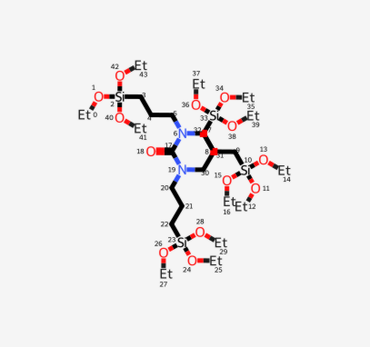 CCO[Si](CCCN(CCC[Si](OCC)(OCC)OCC)C(=O)N(CCC[Si](OCC)(OCC)OCC)CCC[Si](OCC)(OCC)OCC)(OCC)OCC